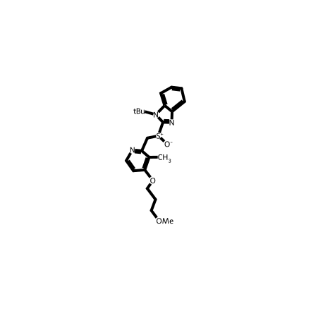 COCCCOc1ccnc(C[S+]([O-])c2nc3ccccc3n2C(C)(C)C)c1C